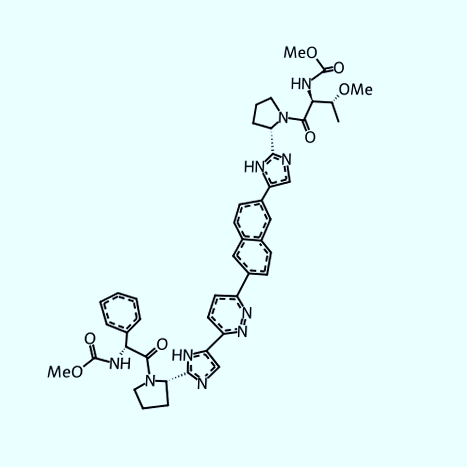 COC(=O)N[C@H](C(=O)N1CCC[C@H]1c1ncc(-c2ccc3cc(-c4ccc(-c5cnc([C@@H]6CCCN6C(=O)[C@H](NC(=O)OC)c6ccccc6)[nH]5)nn4)ccc3c2)[nH]1)[C@@H](C)OC